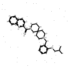 CC(C)COc1ccccc1CN1CCC2(CCCN(C(=O)c3ccc4ccccc4n3)C2)CC1